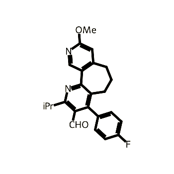 COc1cc2c(cn1)-c1nc(C(C)C)c(C=O)c(-c3ccc(F)cc3)c1CCC2